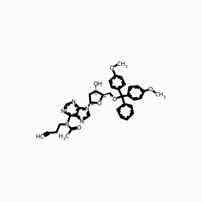 C#CCCN(C(C)=O)c1ncnc2c1ncn2[C@H]1C[C@H](O)[C@@H](COC(c2ccccc2)(c2ccc(OC)cc2)c2ccc(OC)cc2)O1